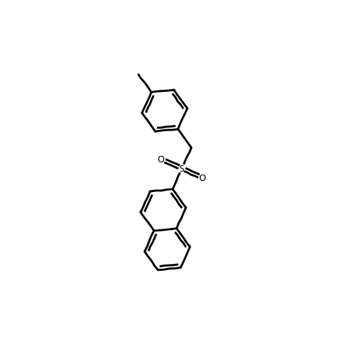 Cc1ccc(CS(=O)(=O)c2ccc3ccccc3c2)cc1